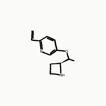 C=Cc1ccc(OC(C)[C@@H]2CCN2)cn1